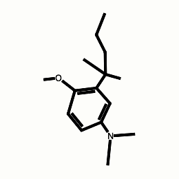 CCCC(C)(C)c1cc(N(C)C)ccc1OC